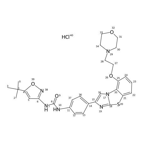 CC(C)(C)c1cc(NC(=O)Nc2ccc(-c3cn4c(n3)sc3cccc(OCCN5CCOCC5)c34)cc2)no1.Cl